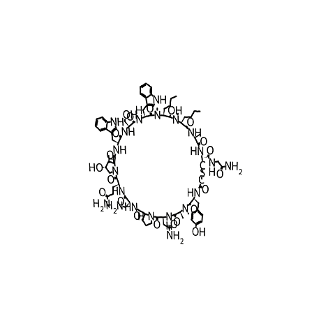 CCCC[C@H]1C(O)N(C)[C@@H](CCCC)C(=O)N[C@@H](C)C(=O)N[C@H](C(=O)NCC(N)=O)CSCC(=O)N[C@@H](Cc2ccc(O)cc2)C(=O)N(C)[C@@H](C)C(=O)N[C@@H](CC(N)=O)C(=O)N2CCC[C@H]2C(=O)N[C@@H](CN)C(=O)N[C@@H](CCC(N)=O)C(=O)N2C[C@H](O)C[C@H]2C(=O)N[C@@H](Cc2c[nH]c3ccccc23)C(=O)N[C@@H](CO)C(=O)N[C@@H](Cc2c[nH]c3ccccc23)C(=O)N1C